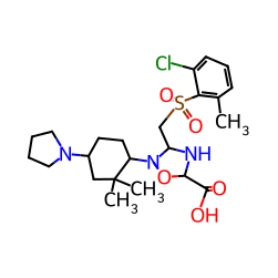 Cc1cccc(Cl)c1S(=O)(=O)CC1NC(C(=O)O)ON1C1CCC(N2CCCC2)CC1(C)C